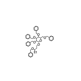 CC[C@H](CCO[C@H]1OC(COCc2ccccc2)[C@H](OCc2ccccc2)C(OCc2ccccc2)C1OCc1ccccc1)OCc1ccccc1